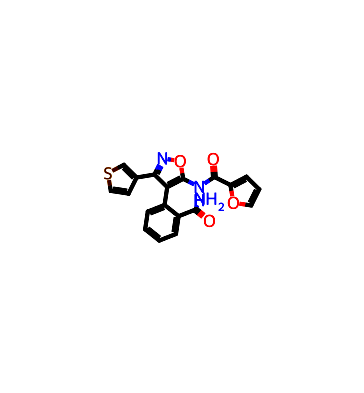 NC(=O)c1ccccc1-c1c(-c2ccsc2)noc1NC(=O)c1ccco1